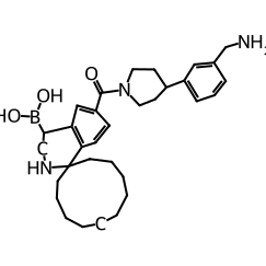 NCc1cccc(C2CCN(C(=O)c3ccc4c(c3)C(B(O)O)CNC43CCCCCCCCCC3)CC2)c1